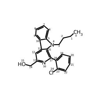 CCCCn1c2ccccc2c2cc(CO)nc(-c3ccccc3Cl)c21